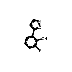 Oc1c(F)cccc1-c1ccno1